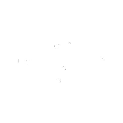 CCOC(=O)c1cnn(-c2ccncc2Br)c1C(F)(F)F